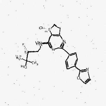 CC(C)(O)[C@H](F)CNc1nc(-c2ccc(-c3ncco3)cc2)nc2c1[S@+]([O-])CC2